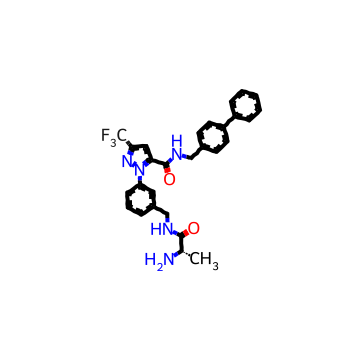 C[C@H](N)C(=O)NCc1cccc(-n2nc(C(F)(F)F)cc2C(=O)NCc2ccc(-c3ccccc3)cc2)c1